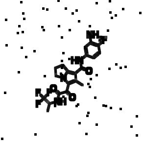 Cc1c(C(=O)Nc2ccc(F)c(N)c2)c2n(c1C(=O)C(=O)NC(C)C(F)(F)F)CCC2